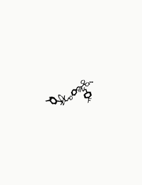 CCOC(=O)C(Cc1ccc(OCCc2nc(-c3ccc(C)cc3)oc2C)cc1)NCc1ccc(F)cc1